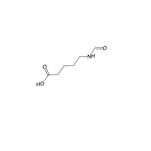 O=CNCCCCC(=O)O